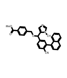 COC(=O)c1ccc(COC(c2ccc(C#N)c(-c3cccc4ccccc34)c2)c2cncn2C)cc1